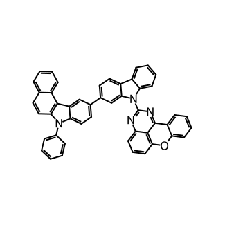 c1ccc(-n2c3ccc(-c4ccc5c6ccccc6n(-c6nc7c8c(cccc8n6)Oc6ccccc6-7)c5c4)cc3c3c4ccccc4ccc32)cc1